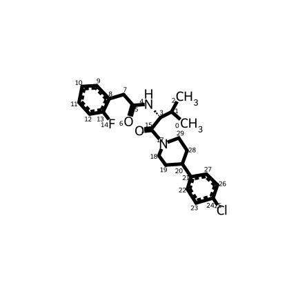 CC(C)[C@@H](NC(=O)Cc1ccccc1F)C(=O)N1CCC(c2ccc(Cl)cc2)CC1